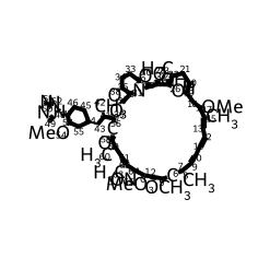 COC1C(=O)C(C)C[C@H](C)/C=C/C=C/C=C(\C)[C@@H](OC)C[C@@H]2CCC(C)C(O)(O2)C(=O)C(=O)N2CCCCC2C(=O)O[C@H]([C@H](C)C[C@@H]2CC[C@H](n3cnnn3)[C@H](OC)C2)CC(=O)[C@H](C)/C=C(\C)[C@H]1N=O